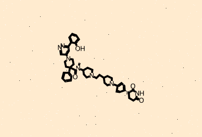 CN(C(=O)C1(c2ccccc2)CCN(c2cnnc(-c3ccccc3O)c2)CC1)C1CCN(CCC2CCN(c3ccc([C@H]4CCC(=O)NC4=O)cc3)CC2)CC1